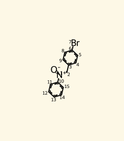 [O-][N+](=Cc1ccc(Br)cc1)c1ccccc1